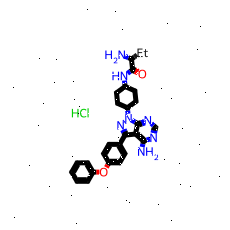 CCC(N)C(=O)NC1CCC(n2nc(-c3ccc(Oc4ccccc4)cc3)c3c(N)ncnc32)CC1.Cl